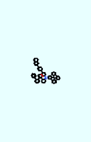 c1ccc(-c2ccccc2-c2ccccc2-c2ccccc2N(c2ccc(-c3ccc(-c4ccc5ccccc5c4)cc3)cc2)c2ccc3c(c2)-c2ccccc2C32c3ccccc3-c3ccccc32)cc1